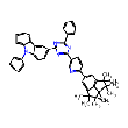 CC1(C)c2cc(-c3ccc(-c4nc(-c5ccccc5)nc(-c5ccc6c(c5)c5ccccc5n6-c5ccccc5)n4)cn3)cc3c2C(C)(C1(C)C)C(C)(C)C3(C)C